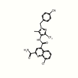 Cc1c(NC(=O)c2cc(C(N)=O)nc3c(Cl)cccc23)c(C(F)(F)F)nn1Cc1ccc(C#N)cc1